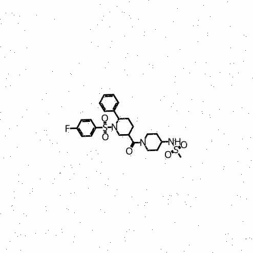 CS(=O)(=O)NC1CCN(C(=O)C2CCC(c3ccccc3)N(S(=O)(=O)c3ccc(F)cc3)C2)CC1